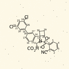 N#Cc1ccccc1S(=O)(=O)N(CC(=O)O)C1(c2cccc(-c3cc(Cl)cc(Cl)c3)c2)CCC1